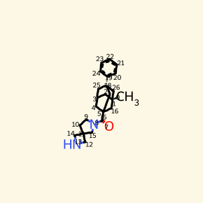 C[C@]12CC3CC(C(=O)N4CCC5(CNC5)C4)(C1)C[C@@](c1ccccc1)(C3)C2